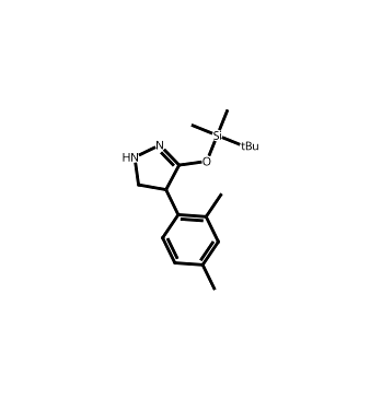 Cc1ccc(C2CNN=C2O[Si](C)(C)C(C)(C)C)c(C)c1